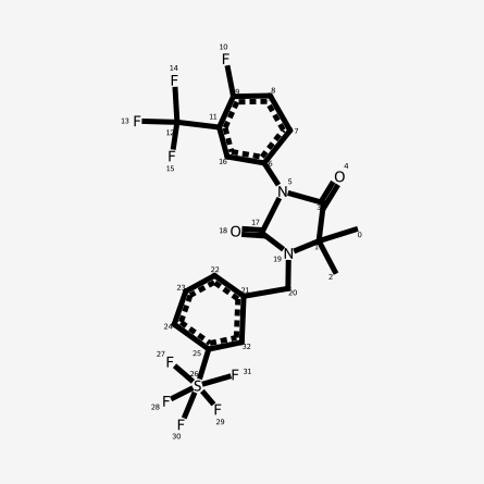 CC1(C)C(=O)N(c2ccc(F)c(C(F)(F)F)c2)C(=O)N1Cc1cccc(S(F)(F)(F)(F)F)c1